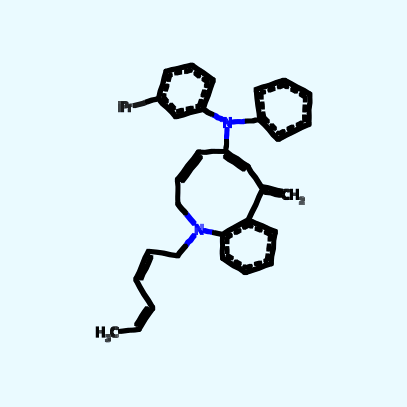 C=C1/C=C(N(c2ccccc2)c2cccc(C(C)C)c2)\C=C/CN(C/C=C\C=C/C)c2ccccc21